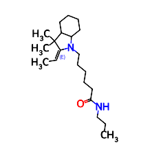 C/C=C1/N(CCCCCC(=O)NCCC)C2CCCCC2C1(C)C